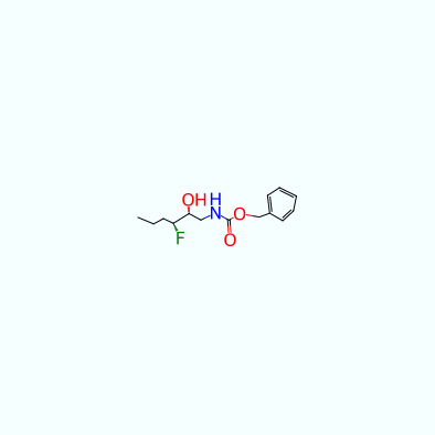 CCC[C@H](F)[C@@H](O)CNC(=O)OCc1ccccc1